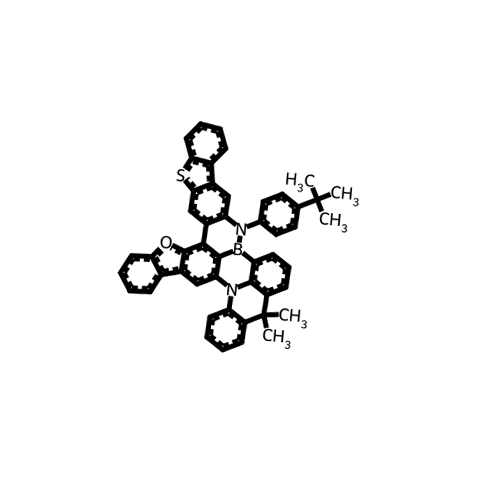 CC(C)(C)c1ccc(N2B3c4cccc5c4N(c4ccccc4C5(C)C)c4cc5c(oc6ccccc65)c(c43)-c3cc4sc5ccccc5c4cc32)cc1